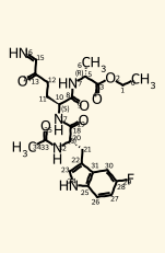 CCOC(=O)[C@@H](C)NC(=O)[C@H](CCC(=O)C=N)NC(=O)[C@H](Cc1c[nH]c2ccc(F)cc12)NC(C)=O